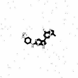 Cc1cnc2c(F)cc(-c3c[nH]c4nc(N[C@H]5CC[C@@H](OC(F)(F)F)CC5)ncc34)cn12